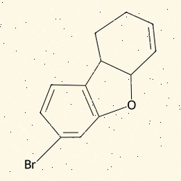 Brc1ccc2c(c1)OC1C=CCCC21